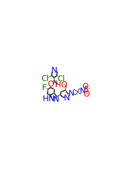 C[C@@H](Oc1cc2c(-c3cnc(N4CC5(C4)CN(S(C)(=O)=O)C5)c(CO)c3)n[nH]c2cc1F)c1c(Cl)cncc1Cl